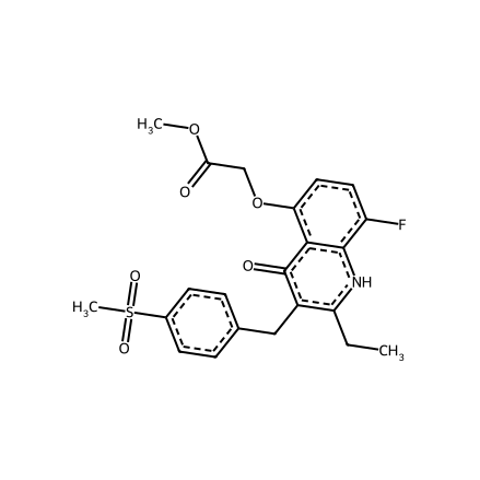 CCc1[nH]c2c(F)ccc(OCC(=O)OC)c2c(=O)c1Cc1ccc(S(C)(=O)=O)cc1